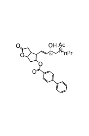 CCCN(C[C@@H](O)C=CC1C(OC(=O)c2ccc(-c3ccccc3)cc2)CC2OC(=O)CC21)C(C)=O